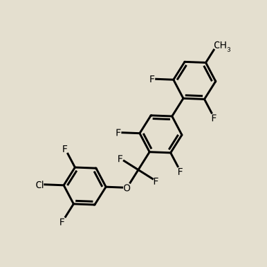 Cc1cc(F)c(-c2cc(F)c(C(F)(F)Oc3cc(F)c(Cl)c(F)c3)c(F)c2)c(F)c1